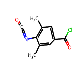 Cc1cc(C(=O)Cl)cc(C)c1N=C=O